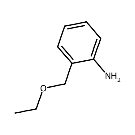 CCOCc1ccccc1N